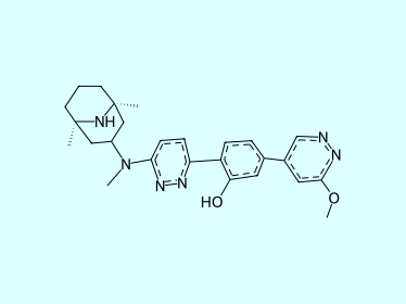 COc1cc(-c2ccc(-c3ccc(N(C)C4C[C@]5(C)CCC[C@](C)(C4)N5)nn3)c(O)c2)cnn1